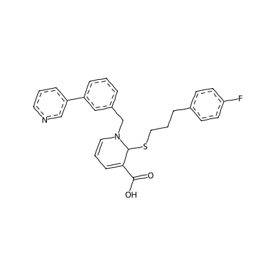 O=C(O)C1=CC=CN(Cc2cccc(-c3cccnc3)c2)C1SCCCc1ccc(F)cc1